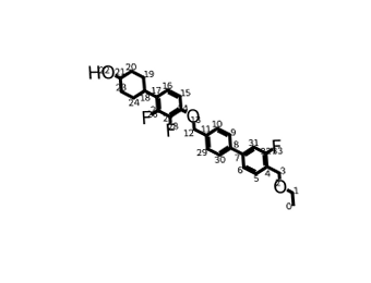 CCOCc1ccc(-c2ccc(COc3ccc(C4CCC(O)CC4)c(F)c3F)cc2)cc1F